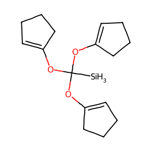 [SiH3]C(OC1=CCCC1)(OC1=CCCC1)OC1=CCCC1